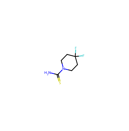 NC(=S)N1CCC(F)(F)CC1